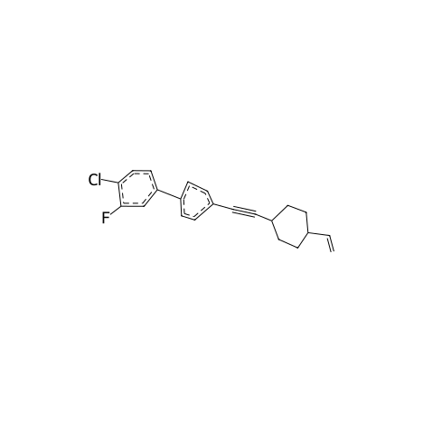 C=CC1CCC(C#Cc2ccc(-c3ccc(Cl)c(F)c3)cc2)CC1